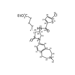 CCOC(=O)CCCC[C@H]1C(=O)N(c2ccc3c(c2)CCN(C)CC3)C[C@@H]1NC(=O)c1ccc(Cl)s1